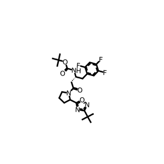 CC(C)(C)OC(=O)N[C@@H](CC(=O)N1CCCC1c1nc(C(C)(C)C)no1)Cc1cc(F)c(F)cc1F